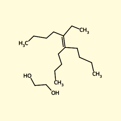 CCCCC(CC)=C(CCCC)CCCC.OCCO